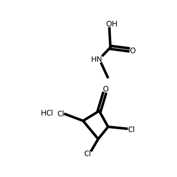 CNC(=O)O.Cl.O=C1C(Cl)C(Cl)C1Cl